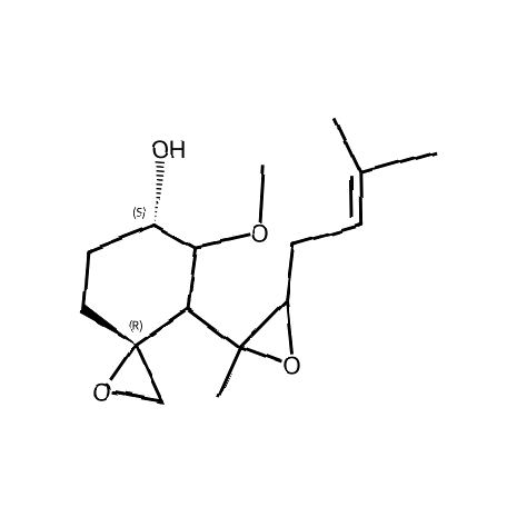 COC1C(C2(C)OC2CC=C(C)C)[C@]2(CC[C@@H]1O)CO2